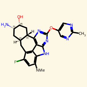 CNc1cc(F)c2c3c1[nH]c1nc(Oc4cnc(C)nc4)nc(c13)[C@H]1C[C@@H](O)[C@@H](N)C[C@@H]1C2